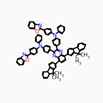 CC1(C)c2ccccc2-c2ccc(-c3ccc(-c4ccc5c(c4)C(C)(C)C4C=CC=CC54)c4nc(-c5ccc(N(c6ccccc6)c6ccc(-c7nc8ccccc8o7)cc6)cc5)c(-c5ccc(N(c6ccccc6)c6ccc(-c7nc8ccccc8o7)cc6)cc5)nc34)cc21